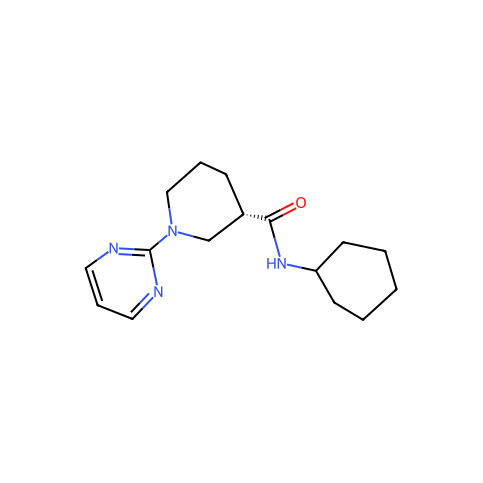 O=C(NC1CCCCC1)[C@H]1CCCN(c2ncccn2)C1